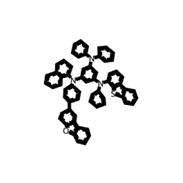 c1ccc(N(c2ccccc2)c2cc(N(c3ccc(-c4ccc5oc6ccccc6c5c4)cc3)c3cccc4ccccc34)cc(N(c3ccccc3)c3cccc4c3sc3ccccc34)c2)cc1